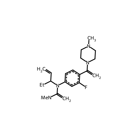 C=CC(CC)N(C(=C)NC)c1ccc(C(=C)N2CCN(C)CC2)c(F)c1